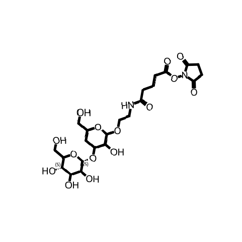 O=C(CCCC(=O)ON1C(=O)CCC1=O)NCCOC1OC(CO)CC(O[C@H]2OC(CO)[C@@H](O)C(O)C2O)C1O